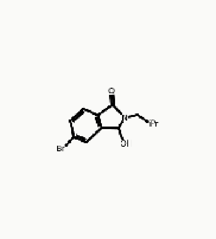 CC(C)CN1C(=O)c2ccc(Br)cc2C1O